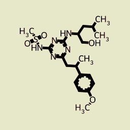 COc1ccc(C(C)Cc2nc(NC(CO)CC(C)C)nc(NS(C)(=O)=O)n2)cc1